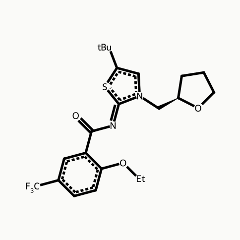 CCOc1ccc(C(F)(F)F)cc1C(=O)N=c1sc(C(C)(C)C)cn1C[C@H]1CCCO1